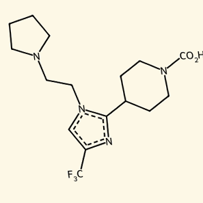 O=C(O)N1CCC(c2nc(C(F)(F)F)cn2CCN2CCCC2)CC1